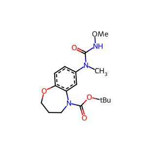 CONC(=O)N(C)c1ccc2c(c1)N(C(=O)OC(C)(C)C)CCCO2